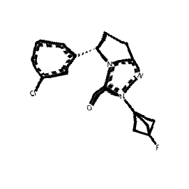 O=c1n(C23CC(F)(C2)C3)nc2n1[C@H](c1cccc(Cl)c1)CC2